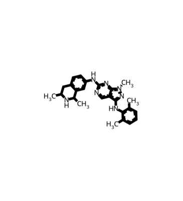 Cc1cccc(C)c1Nc1nn(C)c2nc(Nc3ccc4c(c3)C(C)NC(C)C4)ncc12